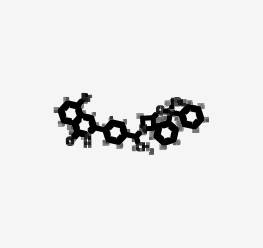 CC(c1ccc(-c2cc3c(Br)cccc3c(=O)[nH]2)cc1)N1CC(O[Si](c2ccccc2)(c2ccccc2)C(C)(C)C)C1